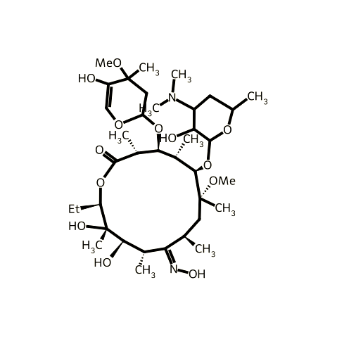 CC[C@H]1OC(=O)[C@H](C)[C@@H](OC2CC(C)(OC)C(O)=CO2)[C@H](C)[C@@H](OC2OC(C)CC(N(C)C)C2O)[C@](C)(OC)C[C@@H](C)/C(=N\O)[C@H](C)[C@@H](O)[C@]1(C)O